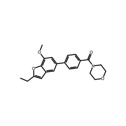 CCc1cc2cc(-c3ccc(C(=O)N4CCOCC4)cc3)cc(OC)c2o1